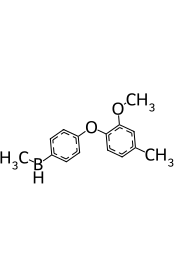 CBc1ccc(Oc2ccc(C)cc2OC)cc1